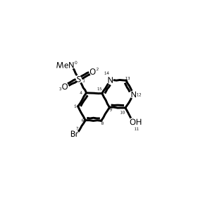 CNS(=O)(=O)c1cc(Br)cc2c(O)ncnc12